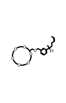 C/C=C\CCC(C)(CC)c1cccc(COCC2COCCOCCOCCOCCOCCO2)c1